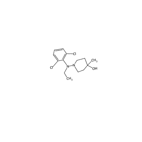 CCN(c1c(Cl)cccc1Cl)N1CCC(C)(O)CC1